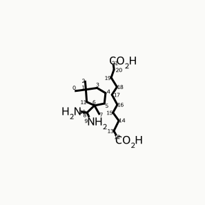 CC1(C)CCCC(C)(C(N)N)C1.O=C(O)CCCCCCCCC(=O)O